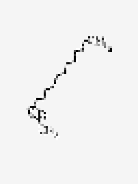 CCCCCCCCCCCCc1ccc(C)o1